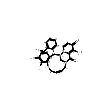 O=C1c2c(O)c(=O)ccn2N2CN1C/C=C\COc1c(ccc(F)c1F)[C@@H]2c1ccccc1CF